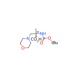 CC(C)(C)OC(=O)N[C@@](C)(CN1CCOCC1)C(=O)O